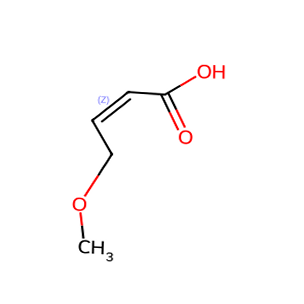 COC/C=C\C(=O)O